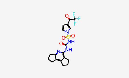 O=C(Nc1nc2c(c3c1CCC3)CCC2)NS(=O)(=O)n1ccc(C(=O)C(F)(F)F)c1